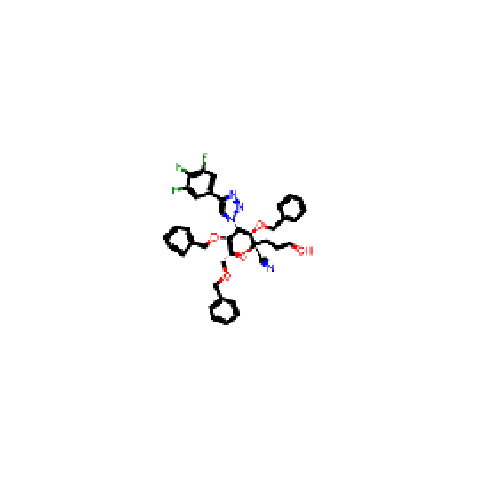 N#C[C@@]1(CCCO)O[C@H](COCc2ccccc2)[C@H](OCc2ccccc2)[C@H](n2cc(-c3cc(F)c(F)c(F)c3)nn2)[C@H]1OCc1ccccc1